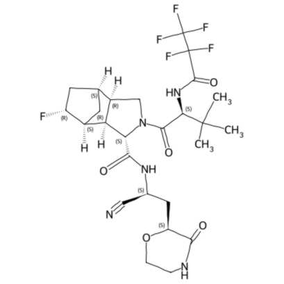 CC(C)(C)[C@H](NC(=O)C(F)(F)C(F)(F)F)C(=O)N1C[C@@H]2[C@H]3C[C@@H]([C@@H]2[C@H]1C(=O)N[C@H](C#N)C[C@@H]1OCCNC1=O)[C@H](F)C3